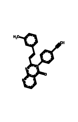 C#Cc1ccc(-n2c(/C=C/c3cccc(C)c3)nc3ncccc3c2=O)cc1